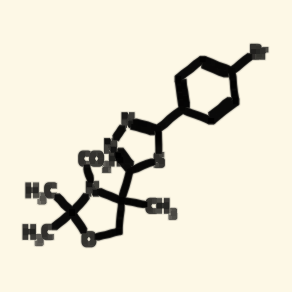 CC1(C)OCC(C)(c2nnc(-c3ccc(Br)cc3)s2)N1C(=O)O